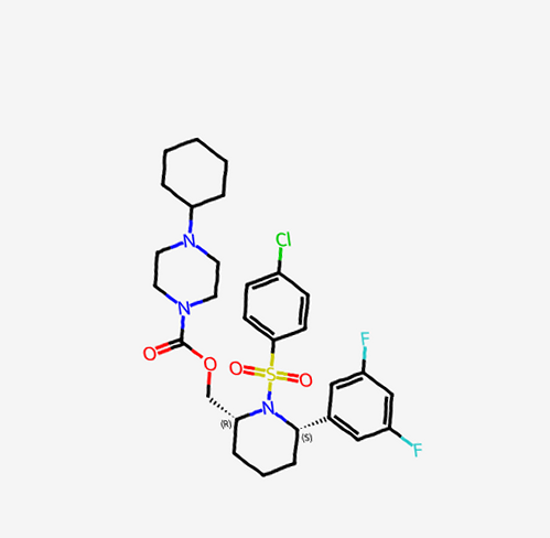 O=C(OC[C@H]1CCC[C@@H](c2cc(F)cc(F)c2)N1S(=O)(=O)c1ccc(Cl)cc1)N1CCN(C2CCCCC2)CC1